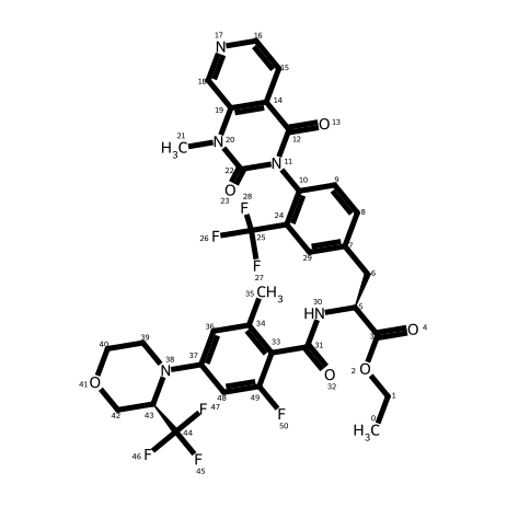 CCOC(=O)[C@H](Cc1ccc(-n2c(=O)c3ccncc3n(C)c2=O)c(C(F)(F)F)c1)NC(=O)c1c(C)cc(N2CCOC[C@@H]2C(F)(F)F)cc1F